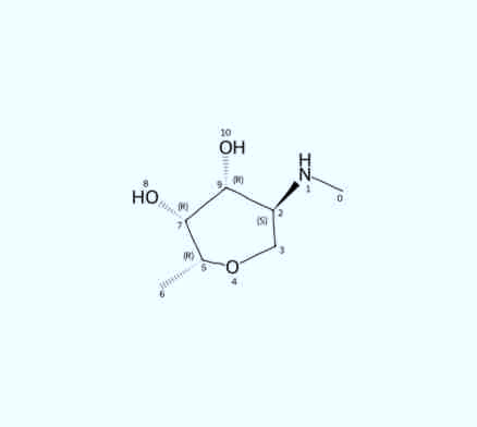 CN[C@H]1CO[C@H](C)[C@H](O)[C@@H]1O